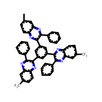 Cc1ccc2nc(-c3cc(-c4nc5ccc(C(F)(F)F)cc5nc4-c4ccccc4)cc(-c4nc5ccc(C(F)(F)F)cc5nc4-c4ccccc4)c3)c(-c3ccccc3)nc2c1